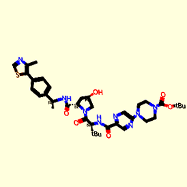 Cc1ncsc1-c1ccc([C@H](C)NC(=O)[C@@H]2C[C@@H](O)CN2C(=O)[C@@H](NC(=O)c2cnc(N3CCN(C(=O)OC(C)(C)C)CC3)cn2)C(C)(C)C)cc1